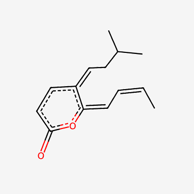 C\C=C/C=c1/oc(=O)cc/c1=C/CC(C)C